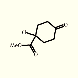 COC(=O)C1(Cl)CCC(=O)CC1